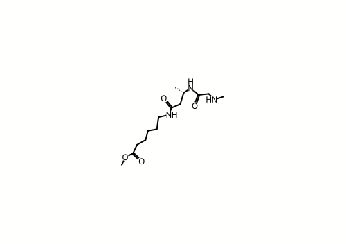 CNCC(=O)N[C@@H](C)CC(=O)NCCCCCC(=O)OC